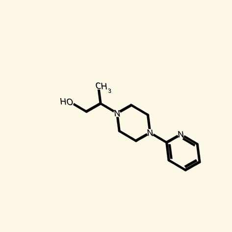 CC(CO)N1CCN(c2ccccn2)CC1